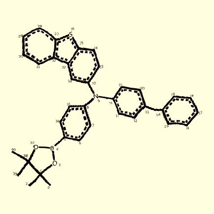 CC1(C)OB(c2ccc(N(c3ccc(-c4ccccc4)cc3)c3ccc4sc5ccccc5c4c3)cc2)OC1(C)C